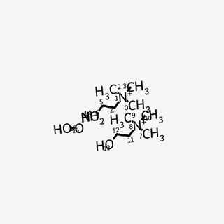 C[N+](C)(C)CCO.C[N+](C)(C)CCO.NOO